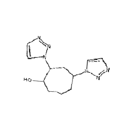 OC1CCCC(n2ccnn2)CC1n1ccnn1